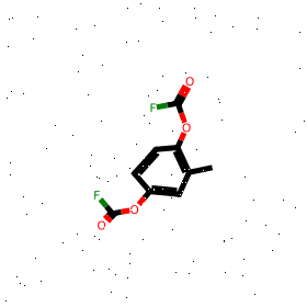 Cc1cc(OC(=O)F)ccc1OC(=O)F